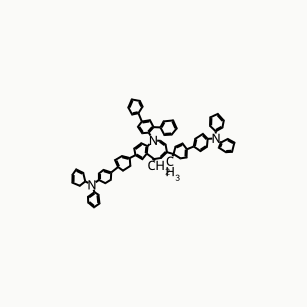 C=C1/C=C(C2(C)C=CC(c3ccc(N(c4ccccc4)c4ccccc4)cc3)=CC2)\C=C/N(c2ccc(-c3ccccc3)cc2-c2ccccc2)c2ccc(C3=CC=C(C4=CC=C(N(c5ccccc5)C5C=CC=CC5)CC4)CC3)cc21